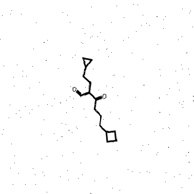 O=[C]C(CCC1CC1)C(=O)CCCC1CCC1